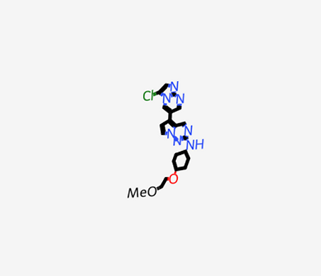 COCCO[C@H]1CC[C@H](Nc2ncc3c(-c4cnc5ncc(Cl)n5c4)ccn3n2)CC1